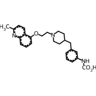 Cc1ccc2c(OCCN3CCC(Cc4cccc(NC(=O)O)c4)CC3)cccc2n1